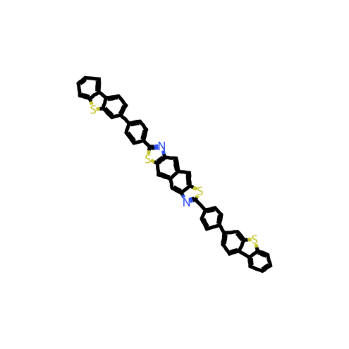 c1ccc2c(c1)sc1cc(-c3ccc(-c4nc5cc6cc7sc(-c8ccc(-c9ccc%10c(c9)sc9ccccc9%10)cc8)nc7cc6cc5s4)cc3)ccc12